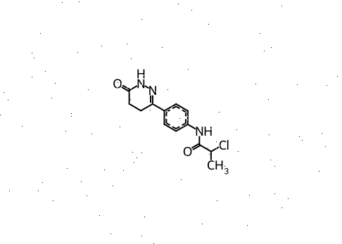 CC(Cl)C(=O)Nc1ccc(C2=NNC(=O)CC2)cc1